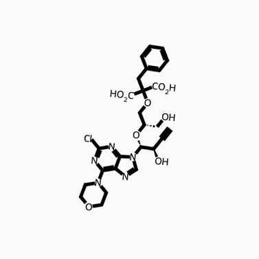 C#C[C@@H](O)[C@@H](O[C@@H](CO)COC(Cc1ccccc1)(C(=O)O)C(=O)O)n1cnc2c(N3CCOCC3)nc(Cl)nc21